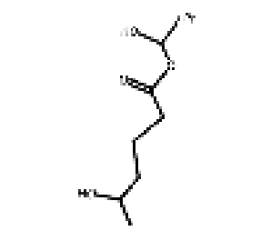 CCCC(O)OC(=O)CCCC(C)O